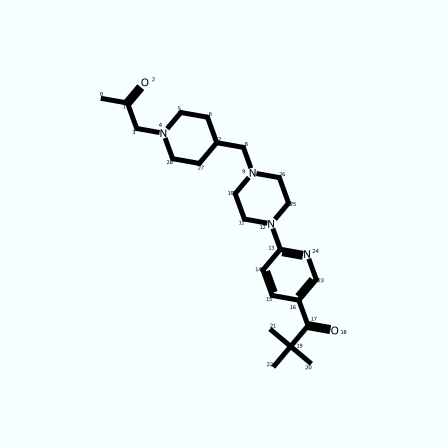 CC(=O)CN1CCC(CN2CCN(c3ccc(C(=O)C(C)(C)C)cn3)CC2)CC1